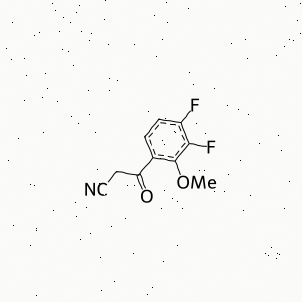 COc1c(C(=O)CC#N)ccc(F)c1F